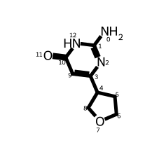 Nc1nc(C2CCOC2)cc(=O)[nH]1